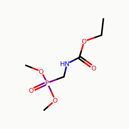 CCOC(=O)NCP(=O)(OC)OC